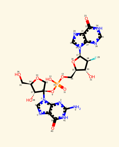 Nc1nc2c(ncn2[C@@]2(OP(=O)(O)OC[C@H]3O[C@@H](n4cnc5c(=O)[nH]cnc54)[C@@H](F)[C@@H]3O)CO[C@H](CO)[C@H]2O)c(=O)[nH]1